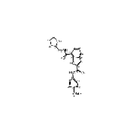 COc1ccc(NC(=O)c2cc3cccc(C(=O)NCC4CCCO4)c3o2)cc1